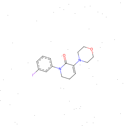 O=C1C(N2CCOCC2)=CCCN1c1cccc(I)c1